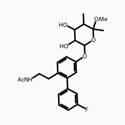 COC1(C)OC(Oc2ccc(CCNC(C)=O)c(-c3cccc(F)c3)c2)C(O)C(O)C1C